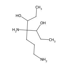 CCC(O)C(N)(CCCN)C(O)CC